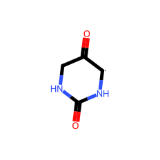 O=C1[CH]NC(=O)NC1